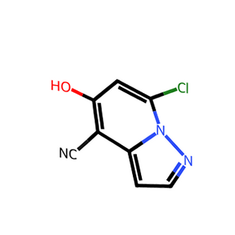 N#Cc1c(O)cc(Cl)n2nccc12